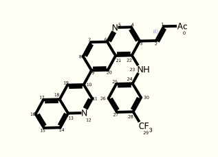 CC(=O)/C=C/c1cnc2ccc(-c3cnc4ccccc4c3)cc2c1Nc1cccc(C(F)(F)F)c1